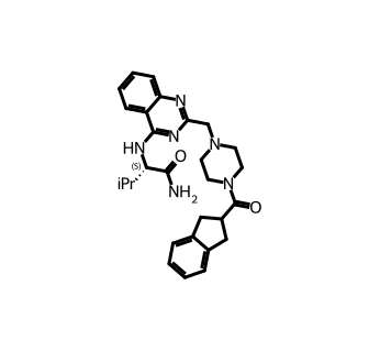 CC(C)[C@H](Nc1nc(CN2CCN(C(=O)C3Cc4ccccc4C3)CC2)nc2ccccc12)C(N)=O